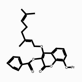 CC(C)=CCC/C(C)=C/COc1c(OC(=O)c2ccccc2)c(=O)oc2c(OC(C)C)cccc12